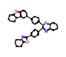 c1ccc2nc(-c3ccc(-c4nc5ccccc5o4)cc3)c(-c3ccc(-c4ccc5oc6ccccc6c5c4)cc3)nc2c1